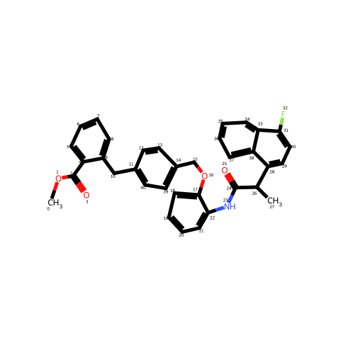 COC(=O)c1ccccc1Cc1ccc(COc2ccccc2NC(=O)C(C)c2ccc(F)c3ccccc23)cc1